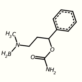 BN(C)CCC(OC(N)=O)c1ccccc1